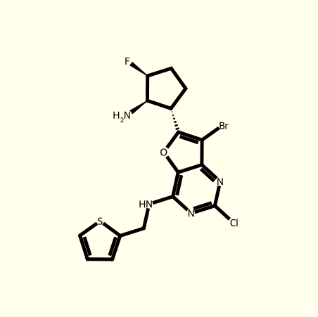 N[C@@H]1[C@@H](c2oc3c(NCc4cccs4)nc(Cl)nc3c2Br)CC[C@@H]1F